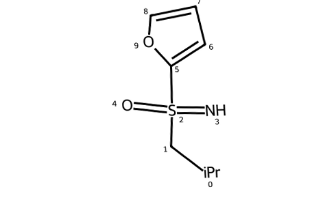 CC(C)CS(=N)(=O)c1ccco1